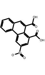 O=C(O)c1cc([N+](=O)[O-])cc2c1c(C(=O)O)cc1ccccc12